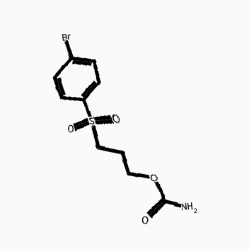 NC(=O)OCCCS(=O)(=O)c1ccc(Br)cc1